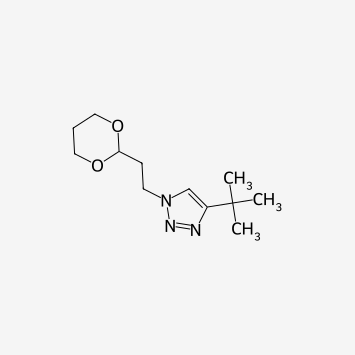 CC(C)(C)c1cn(CCC2OCCCO2)nn1